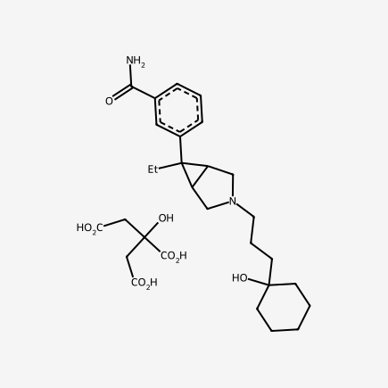 CCC1(c2cccc(C(N)=O)c2)C2CN(CCCC3(O)CCCCC3)CC21.O=C(O)CC(O)(CC(=O)O)C(=O)O